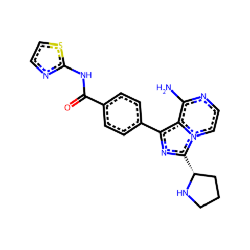 Nc1nccn2c([C@@H]3CCCN3)nc(-c3ccc(C(=O)Nc4nccs4)cc3)c12